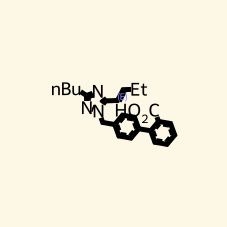 CC/C=C/c1nc(CCCC)nn1Cc1ccc(-c2ccccc2C(=O)O)cc1